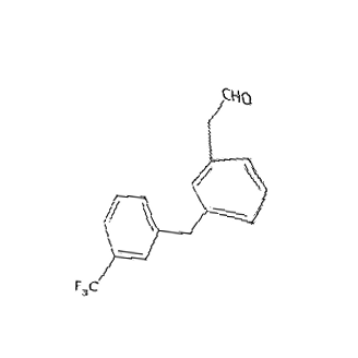 O=CCc1cccc(Cc2cccc(C(F)(F)F)c2)c1